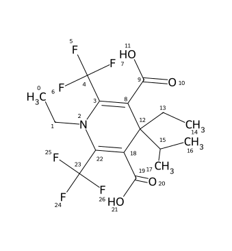 CCN1C(C(F)(F)F)=C(C(=O)O)C(CC)(C(C)C)C(C(=O)O)=C1C(F)(F)F